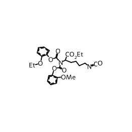 CCOC(=O)C(CCCCN=C=O)N(C(=O)Oc1ccccc1OC)C(=O)Oc1ccccc1OCC